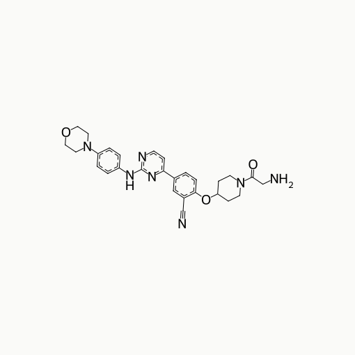 N#Cc1cc(-c2ccnc(Nc3ccc(N4CCOCC4)cc3)n2)ccc1OC1CCN(C(=O)CN)CC1